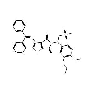 CCOc1cc(C(CS(C)(=O)=O)N2C(=O)c3scc(N=C(c4ccccc4)c4ccccc4)c3C2=O)ccc1OC